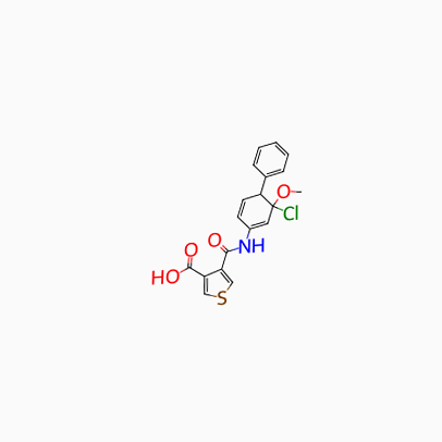 COC1(Cl)C=C(NC(=O)c2cscc2C(=O)O)C=CC1c1ccccc1